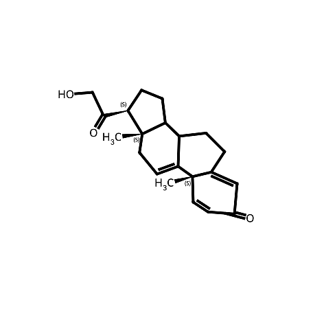 C[C@]12C=CC(=O)C=C1CCC1C2=CC[C@@]2(C)C1CC[C@@H]2C(=O)CO